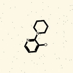 [O]c1cccnc1N1CCCCC1